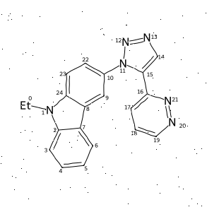 CCn1c2ccccc2c2cc(-n3nncc3-c3cccnn3)ccc21